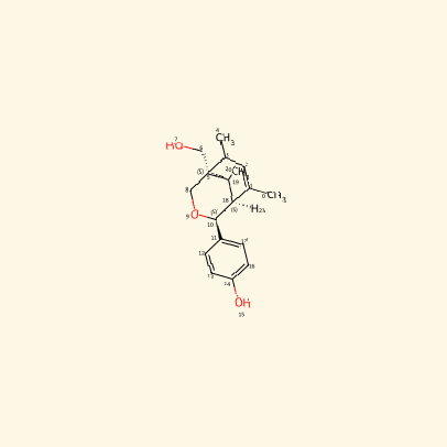 CC1=CC(C)[C@]2(CO)CO[C@H](c3ccc(O)cc3)[C@H]1C2C